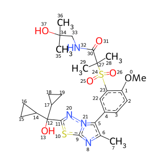 COc1ccc(-c2c(C)nc3sc(C(O)(C4CC4)C4CC4)nn23)cc1S(=O)(=O)C(C)(C)C(=O)NCC(C)(C)O